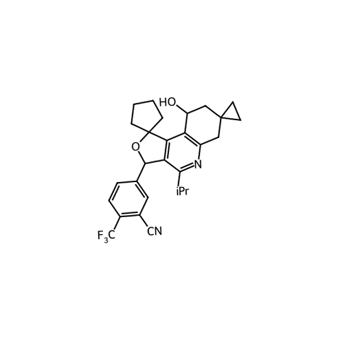 CC(C)c1nc2c(c3c1C(c1ccc(C(F)(F)F)c(C#N)c1)OC31CCCC1)C(O)CC1(CC1)C2